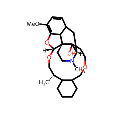 COC1=C2O[C@H]3OC[C@@H](C)C4CCCCC4COCCC4(O)[C@H]5CC(C=C1)C2[C@@]34CCN5C